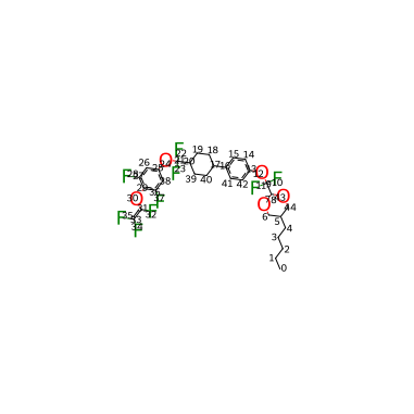 CCCCCC1COC(C(F)(F)Oc2ccc(C3CCC(C(F)(F)Oc4cc(F)c(OC(F)=C(F)F)c(F)c4)CC3)cc2)OC1